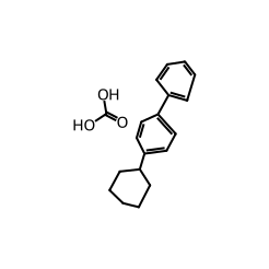 O=C(O)O.c1ccc(-c2ccc(C3CCCCC3)cc2)cc1